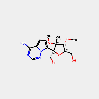 CCCCO[C@@H]1[C@@H](CO)O[C@@](CO)(c2ccc3c(N)ncnn23)[C@]1(C)OCCCC